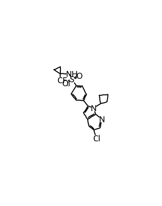 O=S(=O)(NC1(C(F)(F)F)CC1)c1ccc(-c2cc3cc(Cl)cnc3n2C2CCC2)cc1